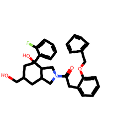 O=C(Cc1ccccc1OCc1ccccc1)N1CC2CC(CO)CC(O)(c3ccccc3F)C2C1